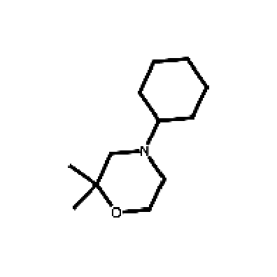 CC1(C)CN(C2CCCCC2)CCO1